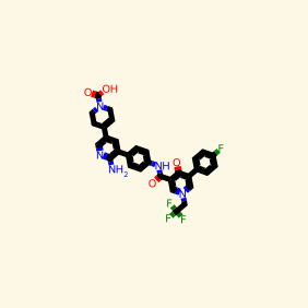 Nc1ncc(C2=CCN(C(=O)O)CC2)cc1-c1ccc(NC(=O)c2cn(CC(F)(F)F)cc(-c3ccc(F)cc3)c2=O)cc1